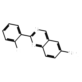 O=[N+]([O-])c1ccc2nc(-c3ccccc3Cl)ncc2c1